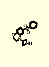 O=S(=O)(c1ccccc1)c1ccc2c(c1)N(C1CNC1)CCO2